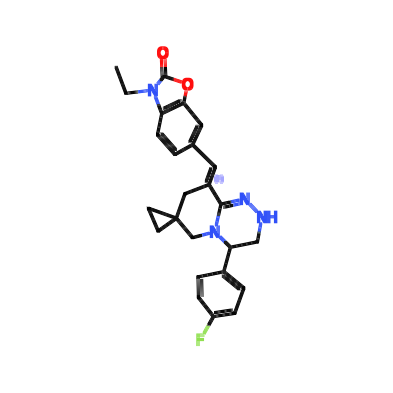 CCn1c(=O)oc2cc(/C=C3\CC4(CC4)CN4C3=NNCC4c3ccc(F)cc3)ccc21